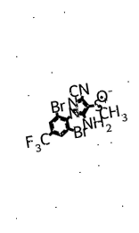 C[S+]([O-])c1c(C#N)nn(-c2c(Br)cc(C(F)(F)F)cc2Br)c1N